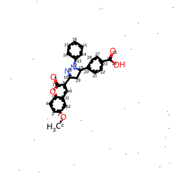 COc1ccc2oc(=O)c(C3=NN(c4ccccc4)C(c4ccc(C(=O)O)cc4)C3)cc2c1